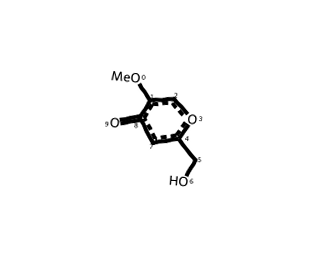 COc1coc(CO)cc1=O